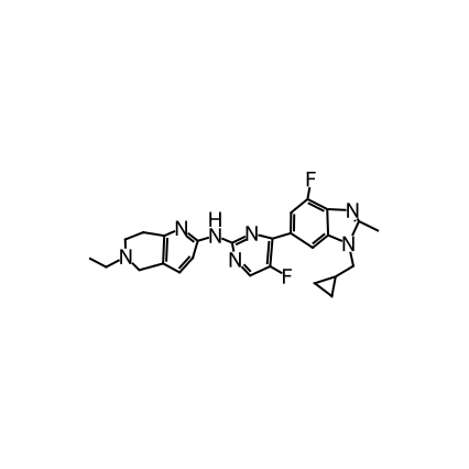 CCN1CCc2nc(Nc3ncc(F)c(-c4cc(F)c5nc(C)n(CC6CC6)c5c4)n3)ccc2C1